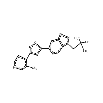 CC(C)(O)Cn1nnc2cc(-c3nc(-c4ccncc4C(F)(F)F)no3)ccc21